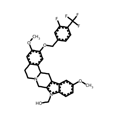 COc1ccc2c(c1)c1c(n2CO)CN2CCc3cc(OC)c(OCc4ccc(C(F)(F)F)c(F)c4)cc3C2C1